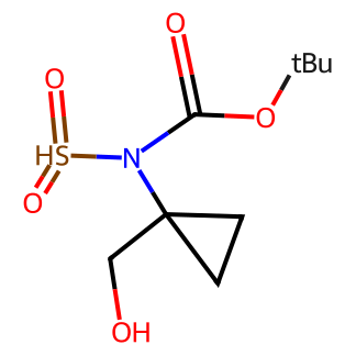 CC(C)(C)OC(=O)N([SH](=O)=O)C1(CO)CC1